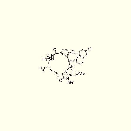 CCCN(CCOC)C(=O)[C@H]1/C(F)=C/C[C@H](C)CS(=N)(=O)NC(=O)c2ccc3c(c2)N(C[C@@H]2CCCN21)C[C@@]1(CCCc2cc(Cl)ccc21)CO3